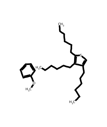 CCCCCCc1csc(CCCCCC)c1CCCCCC.COc1ccccc1